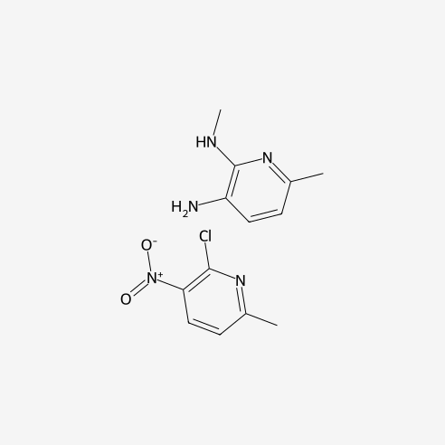 CNc1nc(C)ccc1N.Cc1ccc([N+](=O)[O-])c(Cl)n1